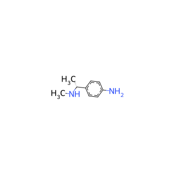 CN[C@H](C)c1ccc(N)cc1